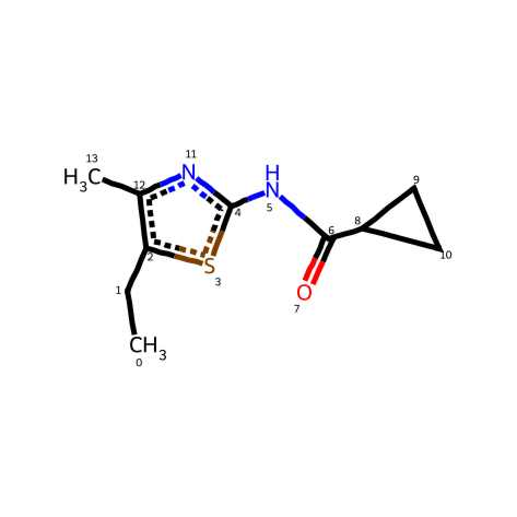 CCc1sc(NC(=O)C2CC2)nc1C